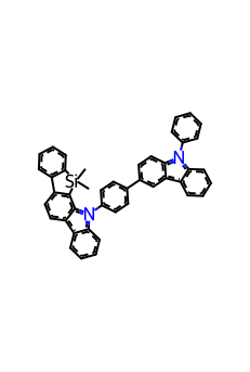 C[Si]1(C)c2ccccc2-c2ccc3c4ccccc4n(-c4ccc(-c5ccc6c(c5)c5ccccc5n6-c5ccccc5)cc4)c3c21